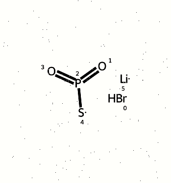 Br.O=P(=O)[S].[Li]